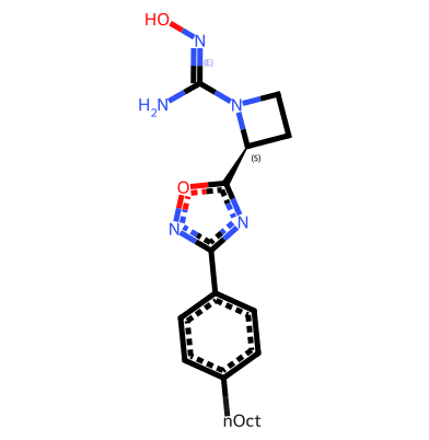 CCCCCCCCc1ccc(-c2noc([C@@H]3CCN3/C(N)=N/O)n2)cc1